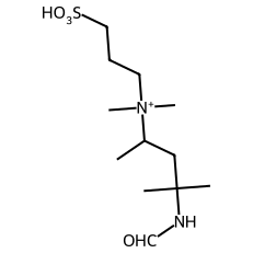 CC(CC(C)(C)NC=O)[N+](C)(C)CCCS(=O)(=O)O